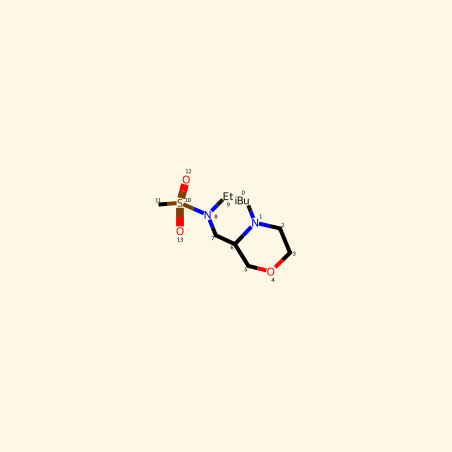 CCC(C)N1CCOCC1CN(CC)S(C)(=O)=O